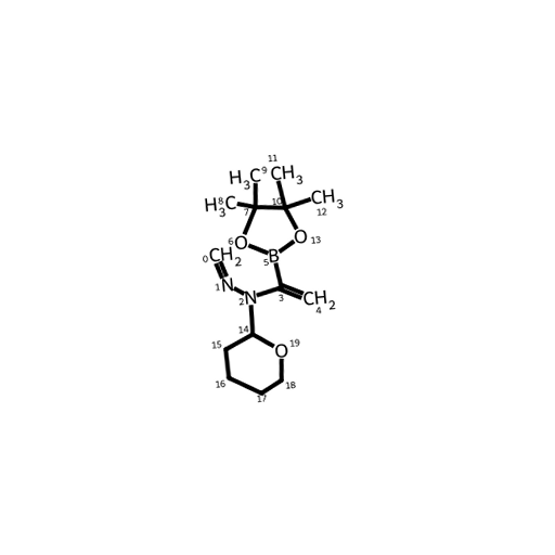 C=NN(C(=C)B1OC(C)(C)C(C)(C)O1)C1CCCCO1